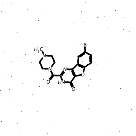 CN1CCN(C(=O)c2nc3c(oc4ccc(Br)cc43)c(=O)[nH]2)CC1